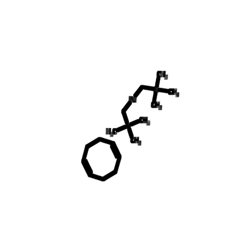 C1=C\CC/C=C\CC/1.C[Si](C)(C)[CH2][Pd][CH2][Si](C)(C)C